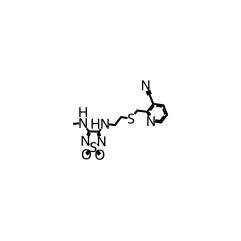 CNC1=NS(=O)(=O)N=C1NCCSCc1ncccc1C#N